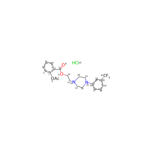 CC(=O)Oc1ccccc1C(=O)OCCN1CCN(c2cccc(C(F)(F)F)c2)CC1.Cl